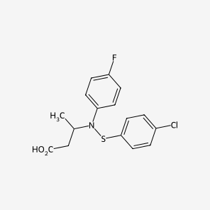 CC(CC(=O)O)N(Sc1ccc(Cl)cc1)c1ccc(F)cc1